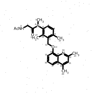 CC(=O)NCC(=O)N(C)c1ccc(C)c(COc2cccc3c(C)cc(C)nc23)c1C